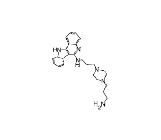 NCCCN1CCN(CCCNc2nc3ccccc3c3c2C2C=CC=CC2N3)CC1